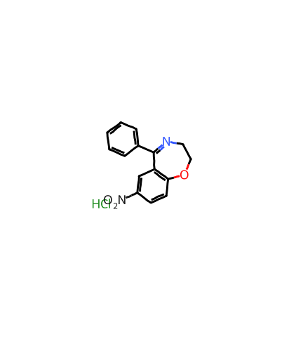 Cl.O=[N+]([O-])c1ccc2c(c1)C(c1ccccc1)=NCCO2